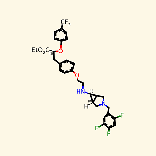 CCOC(=O)[C@H](Cc1ccc(OCCN[C@H]2C3CN(Cc4cc(F)c(F)cc4F)C[C@@H]32)cc1)Oc1ccc(C(F)(F)F)cc1